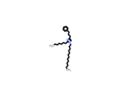 CCCCCCCCCCCCCn1cc(CCCc2ccccc2)nc1CCCCCCC